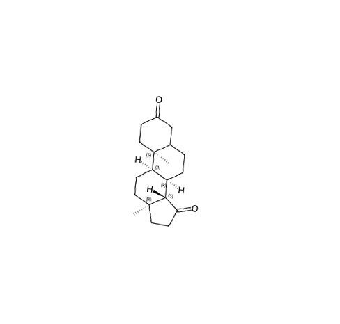 C[C@@]12CCC(=O)[C@H]1[C@@H]1CCC3CC(=O)CC[C@]3(C)[C@@H]1CC2